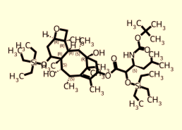 CC[Si](CC)(CC)OC(C(=O)OC1C[C@@]2(O)[C@@H](C)[C@@H]3[C@]4(C)CO[C@@H]4CC(O[Si](CC)(CC)CC)[C@@]3(C)[C@@H](O)[C@@H](C)C(=C1C)C2(C)C)[C@H](CC(C)C)NC(=O)OC(C)(C)C